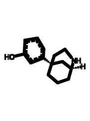 Oc1cccc([C@@]23CCC[C@@H](C2)NCC3)c1